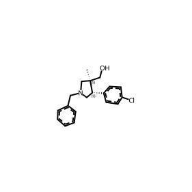 C[C@@]1(CO)CN(Cc2ccccc2)C[C@H]1c1ccc(Cl)cc1